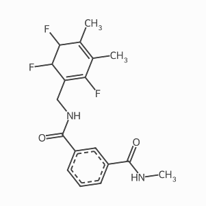 CNC(=O)c1cccc(C(=O)NCC2=C(F)C(C)=C(C)C(F)C2F)c1